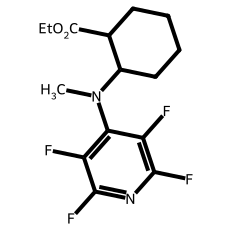 CCOC(=O)C1CCCCC1N(C)c1c(F)c(F)nc(F)c1F